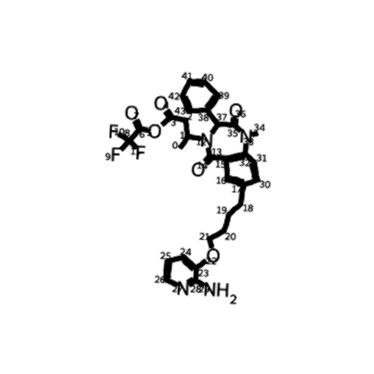 CC(CC(=O)OC(=O)C(F)(F)F)N1C(=O)c2cc(CCCCOc3cccnc3N)ccc2N(C)C(=O)C1c1ccccc1